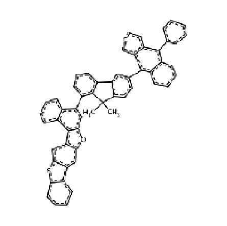 CC1(C)c2ccc(-c3c4ccccc4c(-c4ccccc4)c4ccccc34)cc2-c2cccc(-c3cc4oc5cc6c(cc5c4c4ccccc34)sc3ccccc36)c21